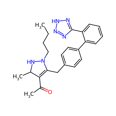 CCCCN1NC(C)C(C(C)=O)=C1Cc1ccc(-c2ccccc2-c2nn[nH]n2)cc1